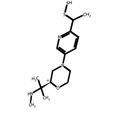 CNC(C)(C)[C@H]1CN(c2ccc(C(C)SS)nc2)CCO1